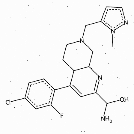 Cn1nccc1CN1CCC2C(c3ccc(Cl)cc3F)=CC(C(N)O)=NC2C1